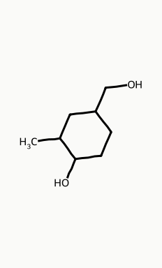 CC1CC(CO)CCC1O